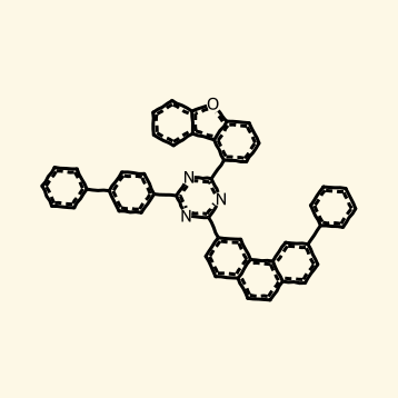 c1ccc(-c2ccc(-c3nc(-c4ccc5ccc6ccc(-c7ccccc7)cc6c5c4)nc(-c4cccc5oc6ccccc6c45)n3)cc2)cc1